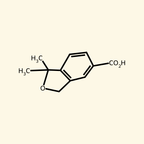 CC1(C)OCc2cc(C(=O)O)ccc21